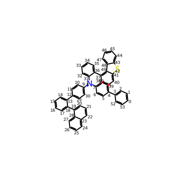 c1ccc(-c2ccc(N(c3ccc(-c4ccccc4-c4cccc5ccccc45)cc3)c3ccccc3-c3cccc4sc5ccccc5c34)cc2)cc1